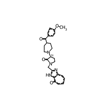 COc1ccc(C(=O)C2CCN([C@H]3CCN(Cc4nc5ccccc(=O)c5[nH]4)C3=O)CC2)cc1